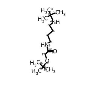 CC(C)(C)NCCCCNC(=O)COC(C)(C)C